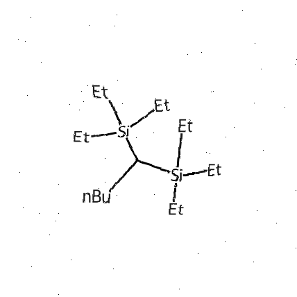 CCCCC([Si](CC)(CC)CC)[Si](CC)(CC)CC